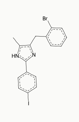 Cc1[nH]c(-c2ccc(I)cc2)nc1Cc1ccccc1Br